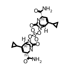 NC(=O)[C@@H]1C=C(C2CC2)[C@@H]2CN1C(=O)N2OS(=O)(=O)ON1C(=O)N2C[C@H]1C(C1CC1)=C[C@H]2C(N)=O